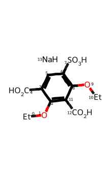 CCOc1c(C(=O)O)cc(S(=O)(=O)O)c(OCC)c1C(=O)O.[NaH]